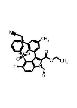 CCOC(=O)c1c(-c2cc(C)cc(C=CC#N)c2C)c2c(S(=O)(=O)c3ccccc3)c(Cl)ccc2n1P=O